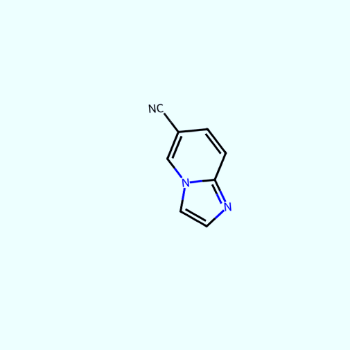 N#Cc1ccc2nccn2c1